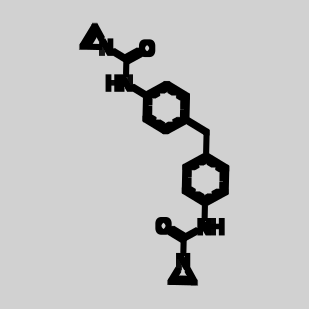 O=C(Nc1ccc(Cc2ccc(NC(=O)N3C=C3)cc2)cc1)N1C=C1